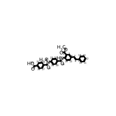 COC(=O)c1cc(C=Cc2ccccc2)ccc1NC(=O)c1ccc(N(C)C(=O)c2ccc(C(=O)O)cc2)cc1